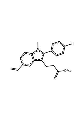 C=Cc1ccc2c(c1)c(CCC(=O)OC)c(-c1ccc(Cl)cc1)n2C